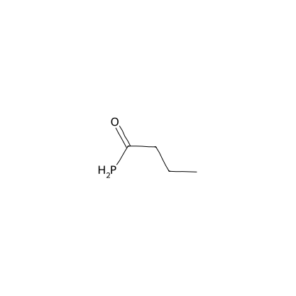 CCCC(=O)P